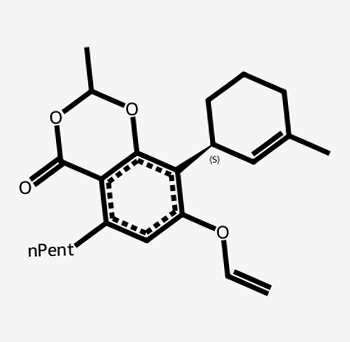 C=COc1cc(CCCCC)c2c(c1[C@@H]1C=C(C)CCC1)OC(C)OC2=O